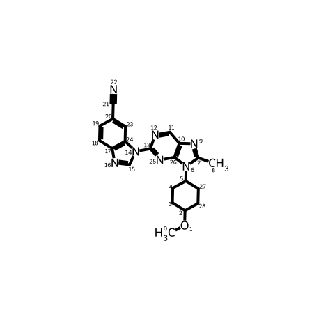 COC1CCC(n2c(C)nc3cnc(-n4cnc5ccc(C#N)cc54)nc32)CC1